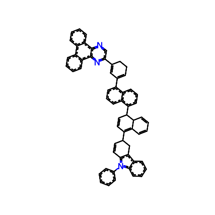 C1=CC2=C(C3C=Cc4c(c5ccccc5n4-c4ccccc4)C3)C=CC(c3cccc4c(C5=CCCC(c6cnc7c8ccccc8c8ccccc8c7n6)=C5)cccc34)C2C=C1